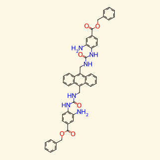 Nc1cc(C(=O)OCc2ccccc2)ccc1NC(=O)NCc1c2ccccc2c(CNC(=O)Nc2ccc(C(=O)OCc3ccccc3)cc2N)c2ccccc12